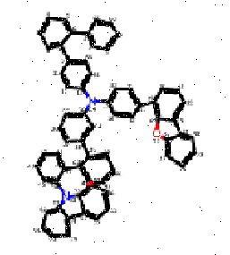 c1ccc(-c2ccccc2-c2ccc(N(c3ccc(-c4cccc5c4oc4ccccc45)cc3)c3cccc(-c4ccccc4-c4ccccc4-n4c5ccccc5c5ccccc54)c3)cc2)cc1